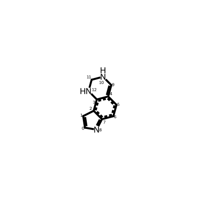 C1=Cc2c3c(ccc2=N1)=CNCN3